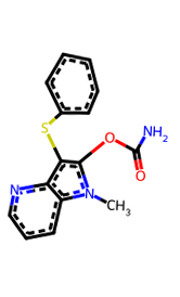 Cn1c(OC(N)=O)c(Sc2ccccc2)c2ncccc21